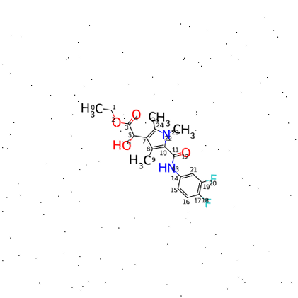 CCOC(=O)C(O)c1c(C)c(C(=O)Nc2ccc(F)c(F)c2)n(C)c1C